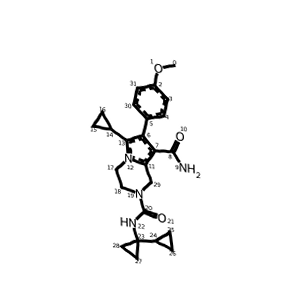 COc1ccc(-c2c(C(N)=O)c3n(c2C2CC2)CCN(C(=O)NC2(C4CC4)CC2)C3)cc1